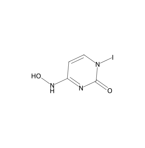 O=c1nc(NO)ccn1I